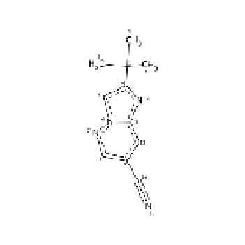 CC(C)(C)c1cn2ncc(C#N)cc2n1